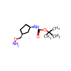 CC(C)(C)OC(=O)N[C@@H]1CC[C@H](CON)C1